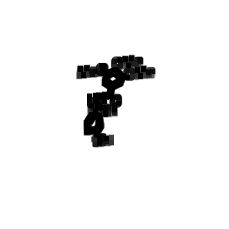 COc1cc(C(=O)Nc2nc3ccc(C(C)(C)C)cc3[nH]2)cc(OC)c1OC